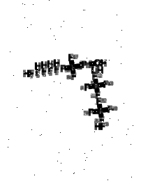 CC(C)O.F.F.F.F.F.F.F[B-](F)(F)F.F[B-](F)(F)F.F[B-](F)(F)F.[LiH]